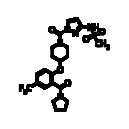 CS(=O)(=O)Nc1ccn(C(=O)N2CCC(Oc3ccc(C(F)(F)F)cc3C(=O)N3CCCC3)CC2)n1